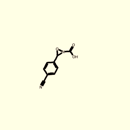 N#Cc1ccc(C2ON2C(=O)O)cc1